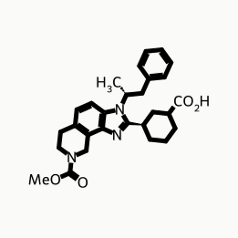 COC(=O)N1CCc2ccc3c(nc([C@@H]4CCCC(C(=O)O)C4)n3[C@H](C)Cc3ccccc3)c2C1